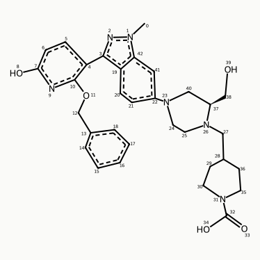 Cn1nc(-c2ccc(O)nc2OCc2ccccc2)c2ccc(N3CCN(CC4CCN(C(=O)O)CC4)[C@H](CO)C3)cc21